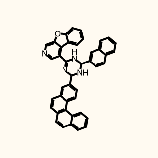 c1ccc2cc(C3NC(c4cncc5oc6ccccc6c45)=NC(c4ccc5c(ccc6ccc7ccccc7c65)c4)N3)ccc2c1